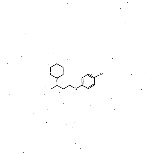 CC(=O)c1ccc(OCCC(C)N2CCCCC2)cc1